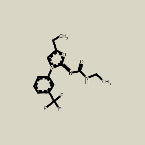 CCNC(=O)N=c1oc(CC)cn1-c1cccc(C(F)(F)F)c1